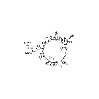 COCCO[C@@H]1CCC(C[C@@H](C)C2CC(=O)[C@H](C)/C=C(\C)[C@@H](O)[C@@H](OC)C(=O)[C@H](C)C[C@H](C)/C=C/C=C/C=C(\C)C(OC(C)(C)CCO)C[C@@H]3CC[C@@H](C)[C@@](O)(O3)C(=O)C(=O)N3CCCC[C@H]3C(=O)O2)C[C@H]1OC